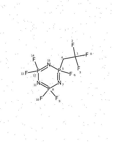 FC(F)(F)CP1(F)=NP(F)(F)=NP(F)(F)=N1